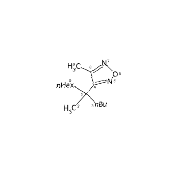 CCCCCCC(C)(CCCC)c1nonc1C